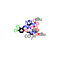 CC(C)(C)OC(=O)NC(CCCOc1ccc(Cl)c(Cl)c1Cn1cnc2c(N(C(=O)OC(C)(C)C)C(=O)OC(C)(C)C)ncnc21)C(=O)O